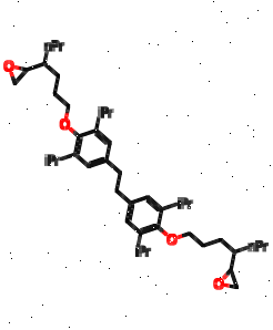 CCCC(CCCOc1c(C(C)C)cc(CCc2cc(C(C)C)c(OCCCC(CCC)C3CO3)c(C(C)C)c2)cc1C(C)C)C1CO1